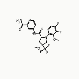 COc1c(N2C[C@@](OC)(C(F)(F)F)C[C@H]2C(=O)Nc2ccnc(C(N)=O)c2)ccc(F)c1F